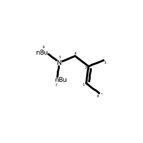 [CH2]C=C(C)CN(CCCC)CCCC